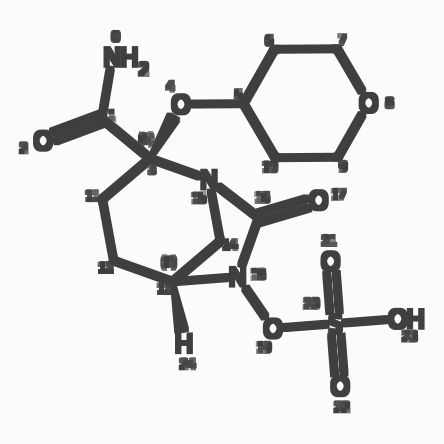 NC(=O)[C@@]1(OC2CCOCC2)CC[C@@H]2CN1C(=O)N2OS(=O)(=O)O